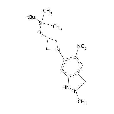 CN1Cc2cc([N+](=O)[O-])c(N3CC(O[Si](C)(C)C(C)(C)C)C3)cc2N1